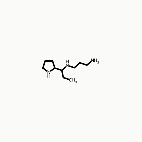 CCC(NCCCN)C1CCCN1